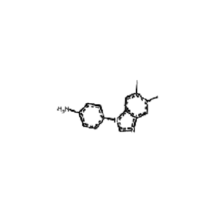 Cc1cc2ncn(-c3ccc(N)cc3)c2cc1C